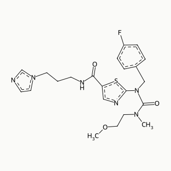 COCCN(C)C(=O)N(Cc1ccc(F)cc1)c1ncc(C(=O)NCCCn2ccnc2)s1